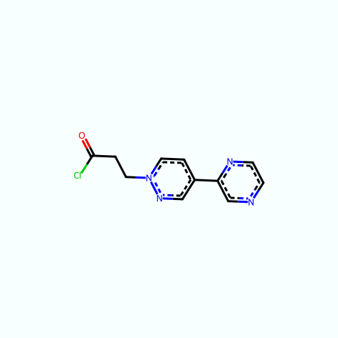 O=C(Cl)CC[n+]1ccc(-c2cnccn2)cn1